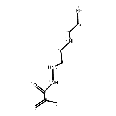 C=C(C)C(=O)NNCCNCCN